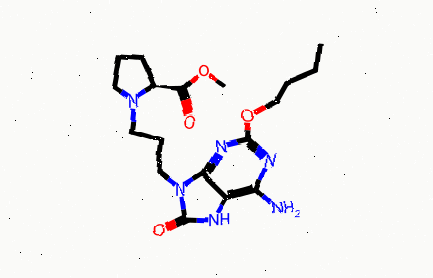 CCCCOc1nc(N)c2[nH]c(=O)n(CCCN3CCC[C@H]3C(=O)OC)c2n1